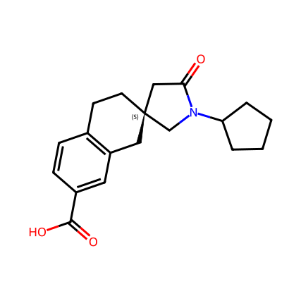 O=C(O)c1ccc2c(c1)C[C@@]1(CC2)CC(=O)N(C2CCCC2)C1